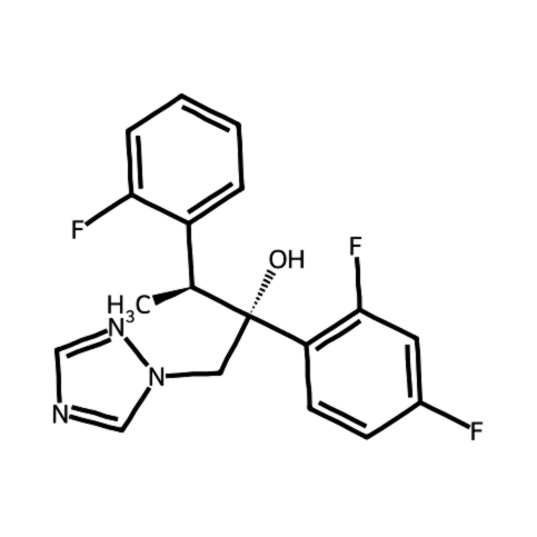 C[C@@H](c1ccccc1F)[C@](O)(Cn1cncn1)c1ccc(F)cc1F